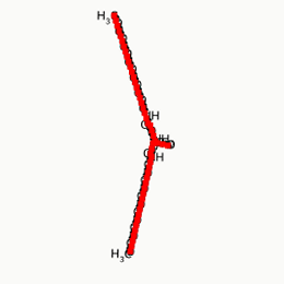 CCCOCCOCCOCCOCCOCCOCCOCCOCCOCCOCCOCCOCCNCCC(=O)CCOCCCC(N)(COCCC=O)COCCC(=O)NCCOCCOCCOCCOCCOCCOCCOCCOCCOCCOCCOCCOC